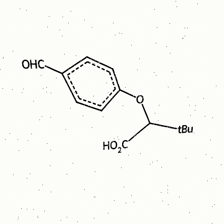 CC(C)(C)C(Oc1ccc(C=O)cc1)C(=O)O